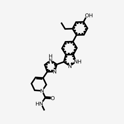 CCc1cc(O)ccc1-c1ccc2c(-c3nc(C4=CCCN(C(=O)NC)C4)c[nH]3)n[nH]c2c1